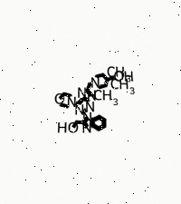 Cn1c(CN2CCC(C(C)(C)O)CC2)nc2c(N3CCOCC3)nc(-n3c(CO)nc4ccccc43)nc21